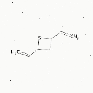 C=CC1CC(C=C)S1